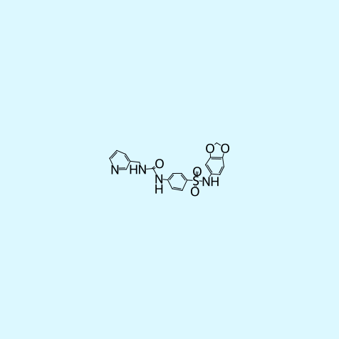 O=C(NCc1cccnc1)Nc1ccc(S(=O)(=O)Nc2ccc3c(c2)OCO3)cc1